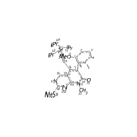 COc1ccccc1-c1c(C#C[Si](C(C)C)(C(C)C)C(C)C)c2cnc(SC)nc2n(C)c1=O